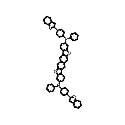 c1ccc(N(c2ccc(-c3cc4ccccc4o3)cc2)c2ccc3c(c2)oc2cc4cc5c(cc4cc23)oc2cc(N(c3ccccc3)c3ccc(-c4cc6ccccc6o4)cc3)ccc25)cc1